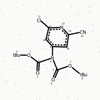 CC(C)(C)OC(=O)N(C(=O)OC(C)(C)C)c1cc(Cl)nc(C#N)c1